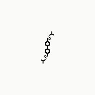 CC(C)CSCc1ccc(-c2ccc(CSCC(C)C)cc2)cc1